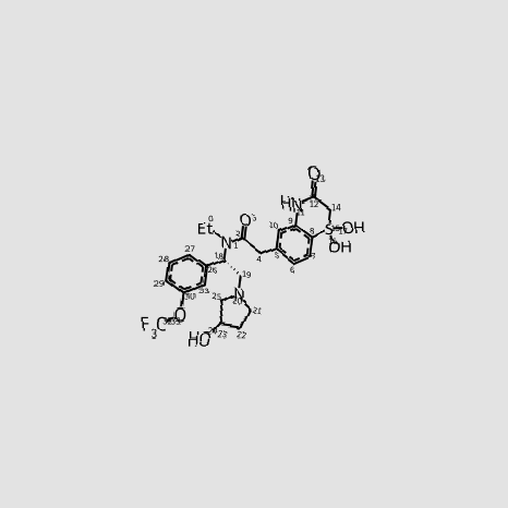 CCN(C(=O)Cc1ccc2c(c1)NC(=O)CS2(O)O)[C@H](CN1CCC(O)C1)c1cccc(OC(F)(F)F)c1